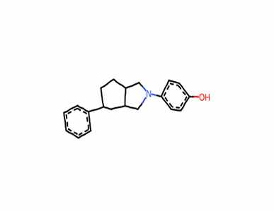 Oc1ccc(N2CC3CCC(c4ccccc4)CC3C2)cc1